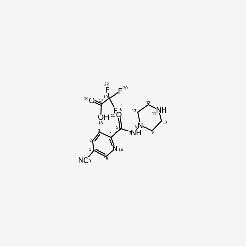 N#Cc1ccc(C(=O)NN2CCNCC2)nc1.O=C(O)C(F)(F)F